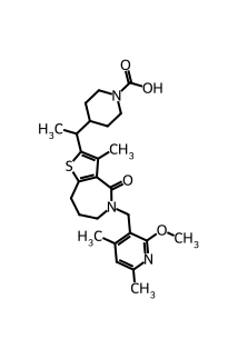 COc1nc(C)cc(C)c1CN1CCCc2sc(C(C)C3CCN(C(=O)O)CC3)c(C)c2C1=O